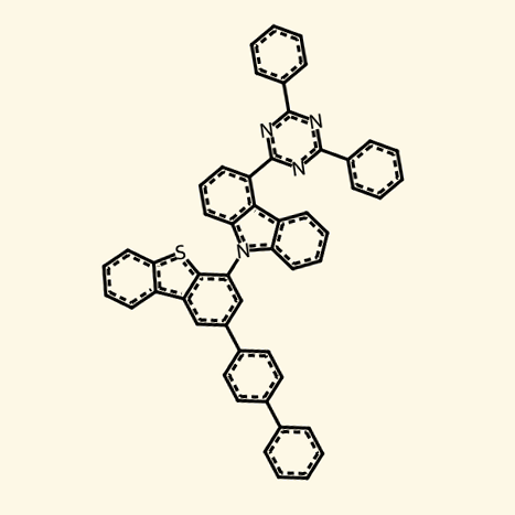 c1ccc(-c2ccc(-c3cc(-n4c5ccccc5c5c(-c6nc(-c7ccccc7)nc(-c7ccccc7)n6)cccc54)c4sc5ccccc5c4c3)cc2)cc1